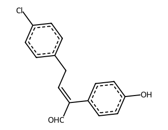 O=CC(=CCc1ccc(Cl)cc1)c1ccc(O)cc1